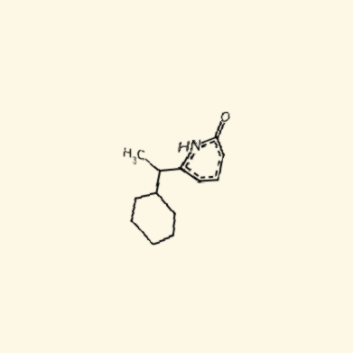 CC(c1cccc(=O)[nH]1)C1CCCCC1